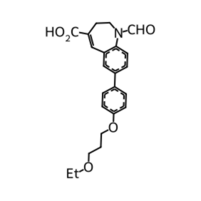 CCOCCCOc1ccc(-c2ccc3c(c2)C=C(C(=O)O)CCN3C=O)cc1